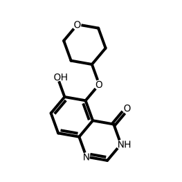 O=c1[nH]cnc2ccc(O)c(OC3CCOCC3)c12